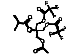 C=C(C)C(=O)OC(COC(C)=O)(COC(=O)C(F)(F)F)COC(=O)C(F)(F)F